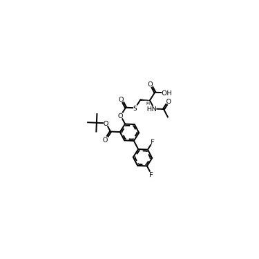 CC(=O)N[C@@H](CSC(=O)Oc1ccc(-c2ccc(F)cc2F)cc1C(=O)OC(C)(C)C)C(=O)O